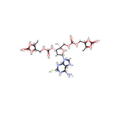 Cc1oc(=O)oc1COC(=O)OC[C@@]1(C)O[C@@H](n2cnc3c(N)nc(F)nc32)C[C@@H]1OC(=O)OCc1oc(=O)oc1C